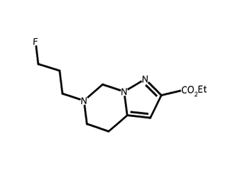 CCOC(=O)c1cc2n(n1)CN(CCCF)CC2